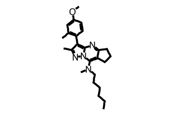 CCCCCCN(C)c1c2c(nc3c(-c4ccc(OC)cc4C)c(C)nn13)CCC2